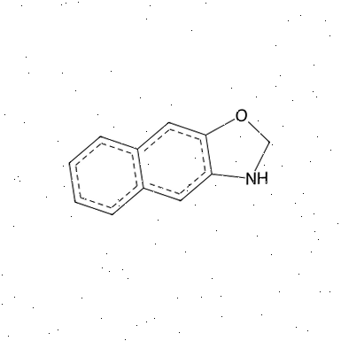 c1ccc2cc3c(cc2c1)NCO3